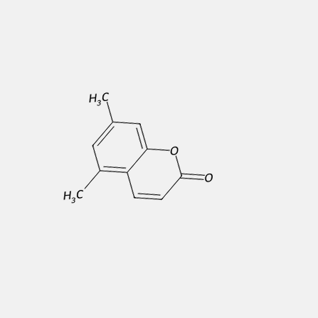 Cc1cc(C)c2ccc(=O)oc2c1